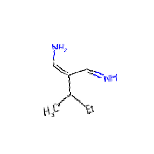 CCC(C)/C(C=N)=C/N